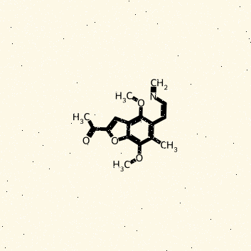 C=N/C=C\c1c(C)c(OC)c2oc(C(C)=O)cc2c1OC